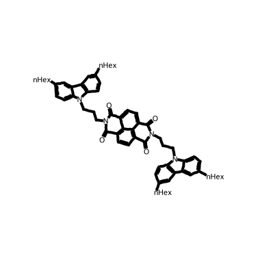 CCCCCCc1ccc2c(c1)c1cc(CCCCCC)ccc1n2CCCN1C(=O)c2ccc3c4c(ccc(c24)C1=O)C(=O)N(CCCn1c2ccc(CCCCCC)cc2c2cc(CCCCCC)ccc21)C3=O